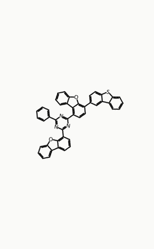 c1ccc(-c2nc(-c3cccc4c3oc3ccccc34)nc(-c3ccc(-c4ccc5sc6ccccc6c5c4)c4oc5ccccc5c34)n2)cc1